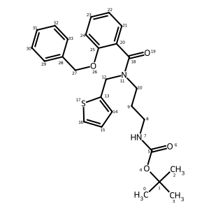 CC(C)(C)OC(=O)NCCCN(Cc1cccs1)C(=O)c1ccccc1OCc1ccccc1